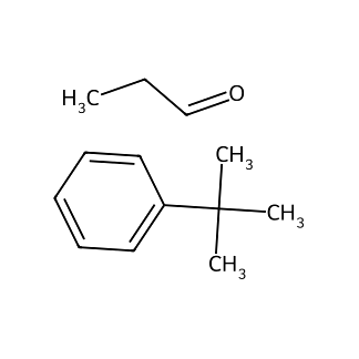 CC(C)(C)c1ccccc1.CCC=O